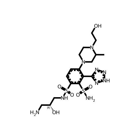 CC1CN(c2ccc(S(=O)(=O)NC[C@H](O)CN)c(S(N)(=O)=O)c2-c2nn[nH]n2)CCN1CCO